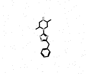 CC1CN(c2nc(Cc3ccccc3)ns2)C(C)CN1